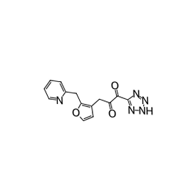 O=C(Cc1ccoc1Cc1ccccn1)C(=O)c1nn[nH]n1